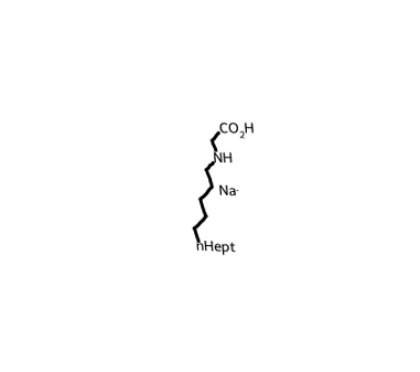 CCCCCCCCCCCCNCC(=O)O.[Na]